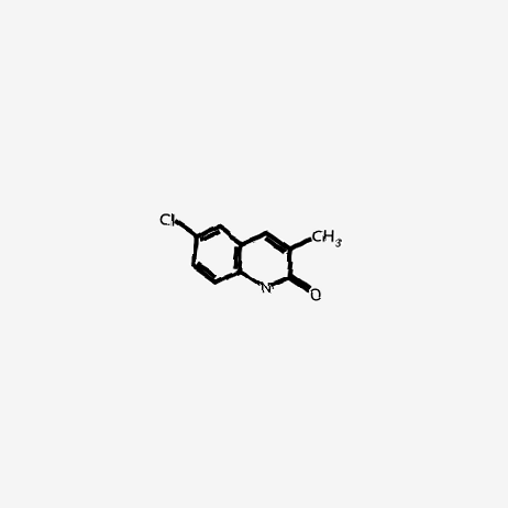 CC1=Cc2cc(Cl)ccc2[N]C1=O